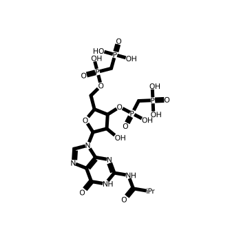 CC(C)C(=O)Nc1nc2c(ncn2C2OC(COP(=O)(O)CP(=O)(O)O)C(OP(=O)(O)CP(=O)(O)O)C2O)c(=O)[nH]1